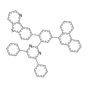 c1ccc(-c2cc(-c3ccccc3)nc(-c3cc(-c4cc5ccccc5c5ccccc45)ccc3-c3ccc4sc5cccnc5c4c3)n2)cc1